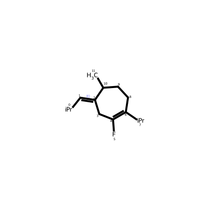 CC(C)/C=C1\CC(F)=C(C(C)C)CCC1C